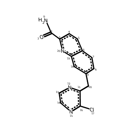 NC(=O)c1ccc2ccc([CH]c3nccnc3Cl)cc2n1